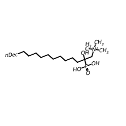 CCCCCCCCCCCCCCCCCCCCC(O)(C[N+](C)(C)C)P(=O)(O)O